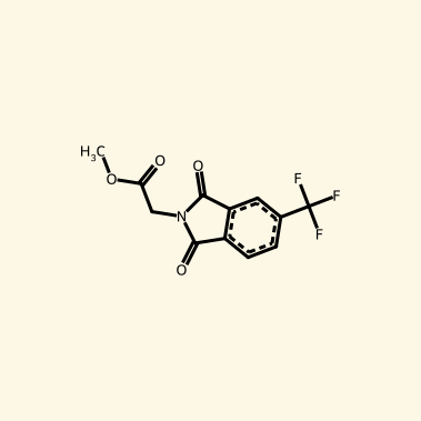 COC(=O)CN1C(=O)c2ccc(C(F)(F)F)cc2C1=O